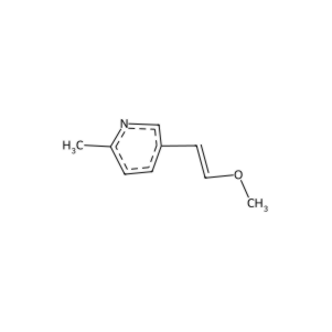 COC=Cc1ccc(C)nc1